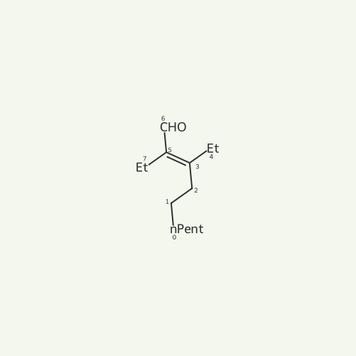 CCCCCCCC(CC)=C(C=O)CC